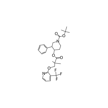 CC(C)(C)OC(=O)N1CCC(OC(=O)C(C)(C)COc2ncccc2C(F)(F)F)C(c2ccccc2)C1